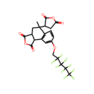 CC1(C2CC(=O)OC2=O)CC2C(=O)OC(=O)C2c2cc(OCC(F)(F)C(F)(F)C(F)(F)C(F)(F)F)ccc21